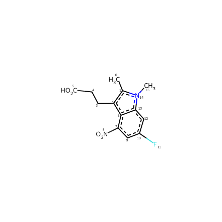 Cc1c(CCC(=O)O)c2c([N+](=O)[O-])cc(F)cc2n1C